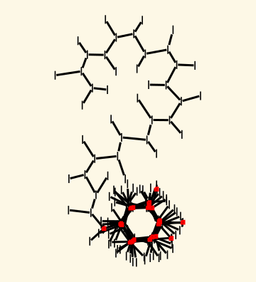 II(I)I(I)I(I)I(I)I(I)I(I)I(I)I(I)I(I)I(I)I(I)I(I)I(I)I(I)I(I)I(I)I(I)I(I)I(I)I(I)I(I)I(I)I(I)I(I)I(I)I(I)I(I)I(I)I(I)I(I)I(I)I(I)I(I)I(I)I(I)I(I)I(I)I(I)I(I)I(I)I(I)I(I)I(I)I(I)I(I)I(I)I(I)I(I)I(I)I(I)I(I)I(I)I(I)I(I)I(I)I(I)I(I)I(I)I(I)I(I)I(I)I(I)I(I)I(I)I(I)I(I)I(I)I(I)I(I)I(I)I(I)I(I)I(I)I(I)I